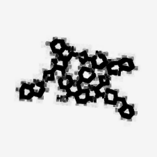 OC(c1ccc2nc(N3CCC(Cc4ccccc4)CC3)c(C3CN(c4ccc5ccccc5n4)C3)nc2c1C(O)C1CCN(c2cc(F)cnc2C2CN(c3ccc4ccccc4n3)C2)CC1)C1CCN(c2ccnnc2C2CN(c3ccc4ccccc4n3)C2)CC1